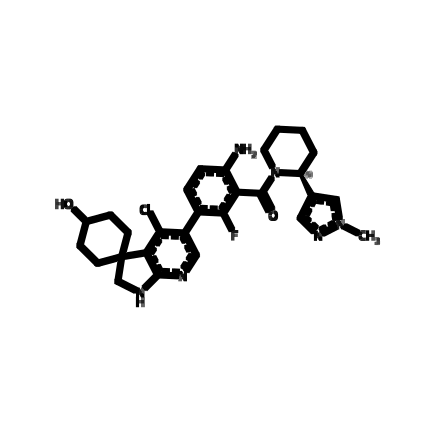 Cn1cc([C@@H]2CCCCN2C(=O)c2c(N)ccc(-c3cnc4c(c3Cl)C3(CCC(O)CC3)CN4)c2F)cn1